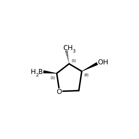 B[C@@H]1OC[C@H](O)[C@H]1C